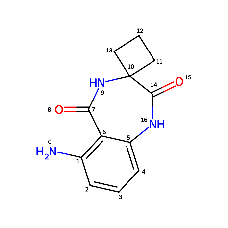 Nc1cccc2c1C(=O)NC1(CCC1)C(=O)N2